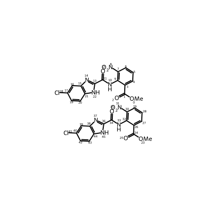 COC(=O)c1cccc([N+](=O)[O-])c1NC(=O)c1nc2cc(Cl)ccc2[nH]1.COC(=O)c1cccc([N+](=O)[O-])c1NC(=O)c1nc2cc(Cl)ccc2[nH]1